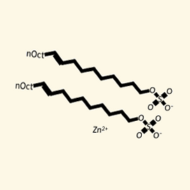 CCCCCCCCC=CCCCCCCCCOS(=O)(=O)[O-].CCCCCCCCC=CCCCCCCCCOS(=O)(=O)[O-].[Zn+2]